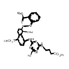 COC(=O)c1ccccc1N=Nc1ccc2c(S(=O)(=O)O)ccc(Nc3nc(O)nc(NCCCC(=O)O)n3)c2c1O